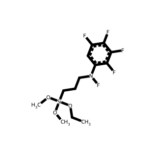 CCO[Si](CCCN(F)c1cc(F)c(F)c(F)c1F)(OC)OC